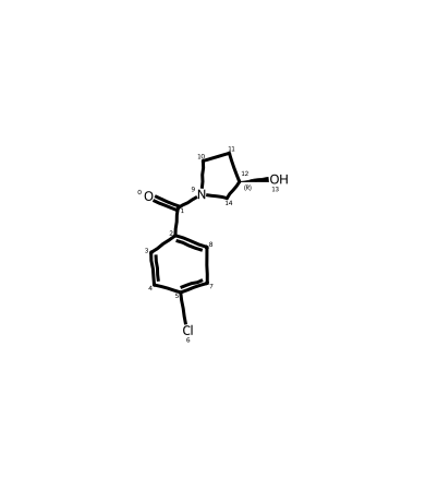 O=C(c1ccc(Cl)cc1)N1CC[C@@H](O)C1